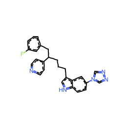 Fc1cccc(CC(CCCc2c[nH]c3ccc(-n4cnnc4)cc23)c2ccncc2)c1